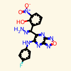 NN=C(c1cccc([N+](=O)[O-])c1O)c1nc2nonc2nc1Nc1ccc(F)cc1